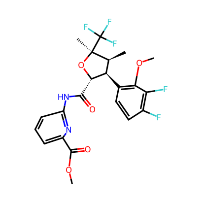 COC(=O)c1cccc(NC(=O)[C@@H]2O[C@@](C)(C(F)(F)F)[C@@H](C)[C@H]2c2ccc(F)c(F)c2OC)n1